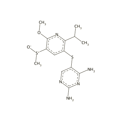 COc1nc(C(C)C)c(Sc2cnc(N)nc2N)cc1[S+](C)[O-]